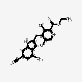 CCOC(=O)c1ncc(Cl)c(Cc2cc3c(C)cc(C#N)cc3[nH]2)c1Cl